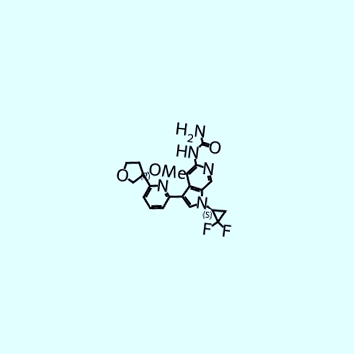 CO[C@@]1(c2cccc(-c3cn([C@H]4CC4(F)F)c4cnc(NC(N)=O)cc34)n2)CCOC1